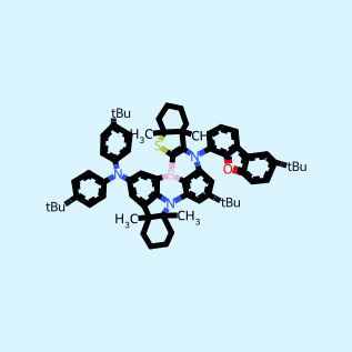 CC(C)(C)c1ccc(N(c2ccc(C(C)(C)C)cc2)c2cc3c4c(c2)C2(C)CCCCC2(C)N4c2cc(C(C)(C)C)cc4c2B3C2=C(N4c3cccc4c3oc3ccc(C(C)(C)C)cc34)C3(C)CCCCC3(C)S2)cc1